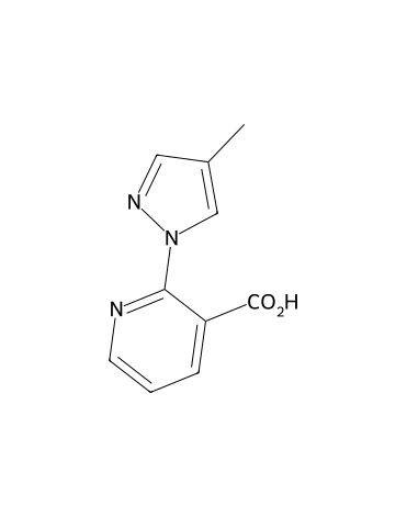 Cc1cnn(-c2ncccc2C(=O)O)c1